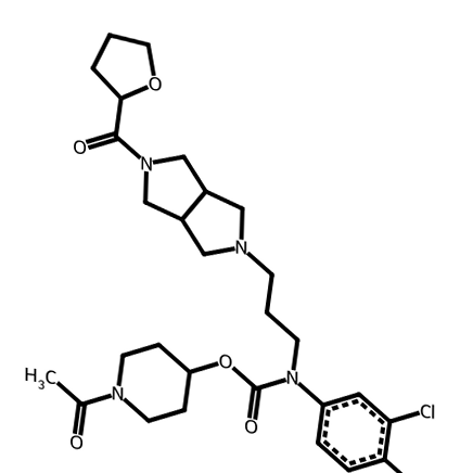 CC(=O)N1CCC(OC(=O)N(CCCN2CC3CN(C(=O)C4CCCO4)CC3C2)c2ccc(C)c(Cl)c2)CC1